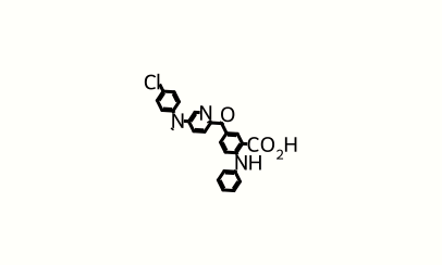 CN(c1ccc(Cl)cc1)c1ccc(C(=O)c2ccc(Nc3ccccc3)c(C(=O)O)c2)nc1